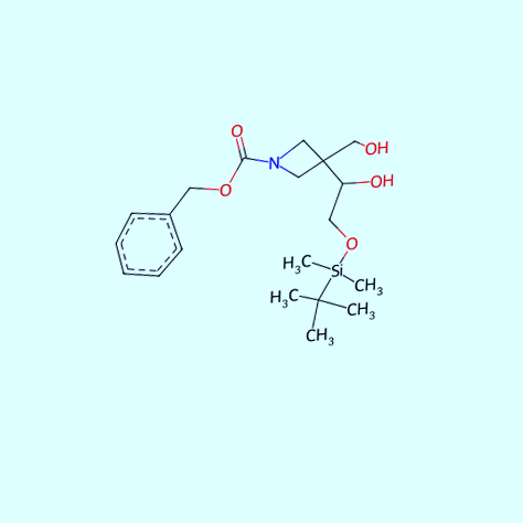 CC(C)(C)[Si](C)(C)OCC(O)C1(CO)CN(C(=O)OCc2ccccc2)C1